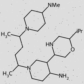 CNC1CCN(C(C)CCC(C)N2CCC(N)C(C3COC(C(C)C)CN3)C2)CC1